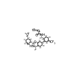 C[C@@H](NC(=O)c1cc(C2CC2)ccn1)c1ccc(-c2cc(C(F)(F)F)ccc2CNC(=O)OC(C)(C)C)cc1